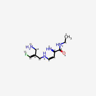 CCNC(=O)C(=N)/C=C\NC/C(=C/F)CN